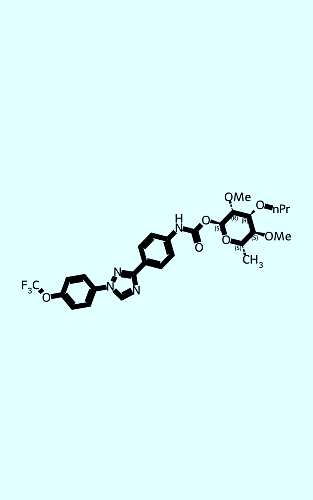 CCCO[C@@H]1[C@@H](OC)[C@H](C)O[C@@H](OC(=O)Nc2ccc(-c3ncn(-c4ccc(OC(F)(F)F)cc4)n3)cc2)[C@@H]1OC